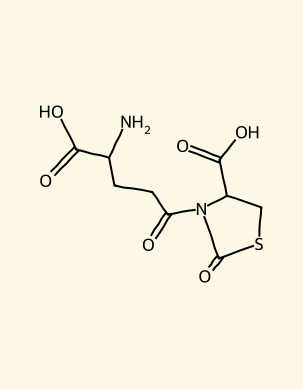 NC(CCC(=O)N1C(=O)SCC1C(=O)O)C(=O)O